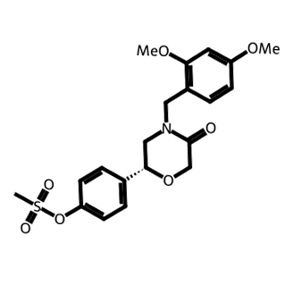 COc1ccc(CN2C[C@@H](c3ccc(OS(C)(=O)=O)cc3)OCC2=O)c(OC)c1